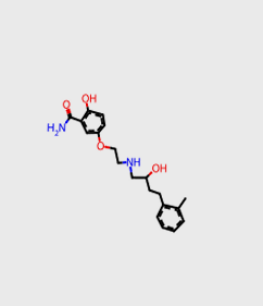 Cc1ccccc1CCC(O)CNCCOc1ccc(O)c(C(N)=O)c1